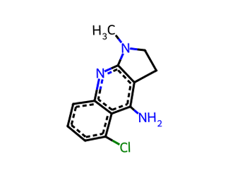 CN1CCc2c1nc1cccc(Cl)c1c2N